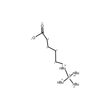 CCCCCC(=O)[O-].CCCC[P+](CCCC)(CCCC)CCCC